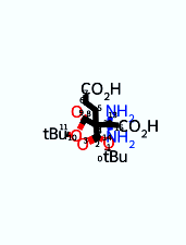 CC(C)(C)OC(=O)C(CCC(=O)O)(C(=O)OC(C)(C)C)C(N)(N)C(=O)O